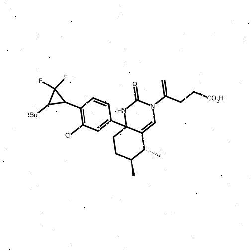 C=C(CCC(=O)O)N1C=C2[C@H](C)[C@@H](C)CCC2(c2ccc(C3C(C(C)(C)C)C3(F)F)c(Cl)c2)NC1=O